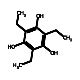 CCc1c(O)c(CC)c(O)c(CC)c1O